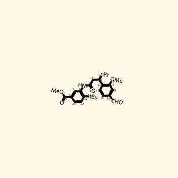 CCCC(CC(=O)Nc1cc(C(=O)OC)ccc1C(C)(C)C)c1ccc(C=O)cc1OC